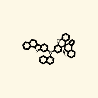 c1ccc2c(c1)Oc1cc(N(c3ccc4c(c3)sc3c5ccccc5ccc43)c3cccc4ccccc34)ccc1C21c2ccccc2-c2cccc3cccc1c23